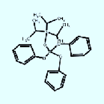 CC(C)[Si]([O][Ti]([O]c1ccccc1)([O]c1ccccc1)[O]c1ccccc1)(C(C)C)C(C)C